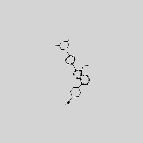 COc1c(-c2ccc(N3CC(C)OC(C)C3)cc2)cnc2c(C3CCC(C#N)CC3)cccc12